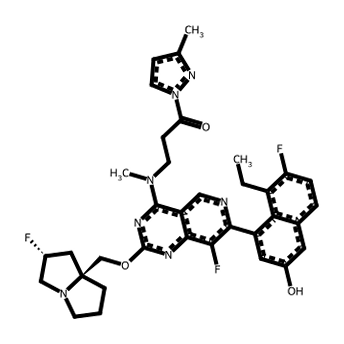 CCc1c(F)ccc2cc(O)cc(-c3ncc4c(N(C)CCC(=O)n5ccc(C)n5)nc(OC[C@@]56CCCN5C[C@H](F)C6)nc4c3F)c12